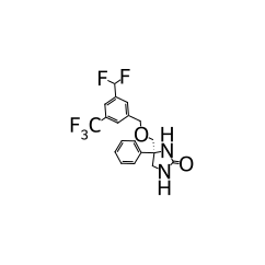 O=C1NC[C@@](COCc2cc(C(F)F)cc(C(F)(F)F)c2)(c2ccccc2)N1